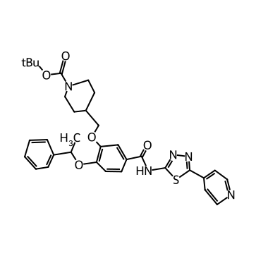 CC(Oc1ccc(C(=O)Nc2nnc(-c3ccncc3)s2)cc1OCC1CCN(C(=O)OC(C)(C)C)CC1)c1ccccc1